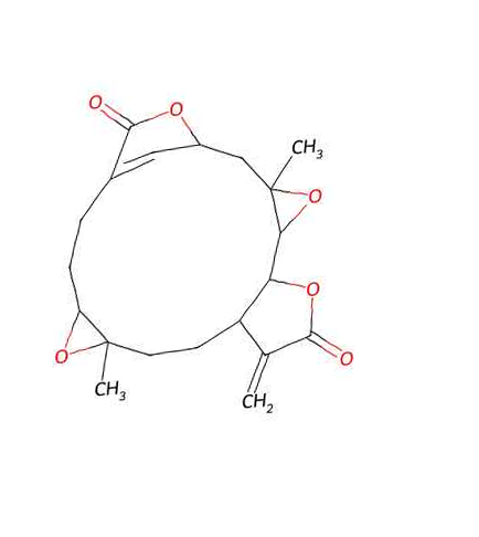 C=C1C(=O)OC2C1CCC1(C)OC1CCC1=CC(CC3(C)OC23)OC1=O